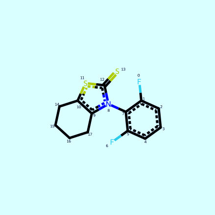 Fc1cccc(F)c1-n1c2c(sc1=S)CCCC2